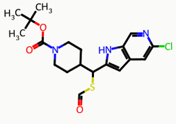 CC(C)(C)OC(=O)N1CCC(C(SC=O)c2cc3cc(Cl)ncc3[nH]2)CC1